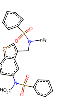 CCCN(Cc1csc2ccc(N(C(=O)O)S(=O)(=O)c3ccccc3)cc12)S(=O)(=O)c1ccccc1